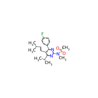 CC(C)/C=C/c1c(-c2ccc(F)cc2)nc(N(C)S(C)(=O)=O)nc1C(C)C